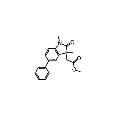 COC(=O)CC1(C)C(=O)N(C)c2ccc(-c3ccccc3)cc21